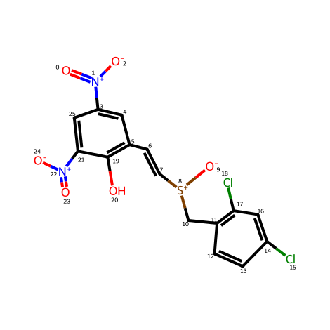 O=[N+]([O-])c1cc(C=C[S+]([O-])Cc2ccc(Cl)cc2Cl)c(O)c([N+](=O)[O-])c1